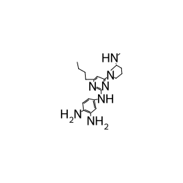 CCCCc1cc(N2CCC[C@@H](NC)C2)nc(Nc2ccc(N)c(N)c2)n1